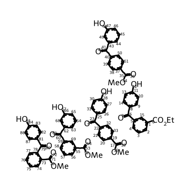 CCOC(=O)c1cccc(C(=O)c2ccc(O)cc2)c1.COC(=O)c1ccc(C(=O)c2ccc(O)cc2)cc1.COC(=O)c1ccc(C(=O)c2cccc(O)c2)cc1.COC(=O)c1cccc(C(=O)c2cccc(O)c2)c1.COC(=O)c1ccccc1C(=O)c1ccc(O)cc1